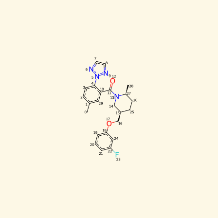 Cc1ccc(-n2nccn2)c(C(=O)N2C[C@H](COc3cccc(F)c3)CC[C@@H]2C)c1